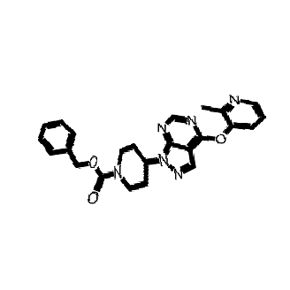 Cc1ncccc1Oc1ncnc2c1cnn2C1CCN(C(=O)OCc2ccccc2)CC1